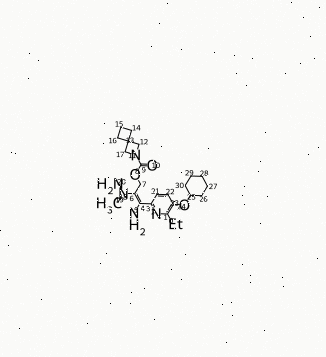 CCc1nc(/C(N)=C(\COC(=O)N2CC3(CCC3)C2)N(C)N)ccc1OC1CCCCC1